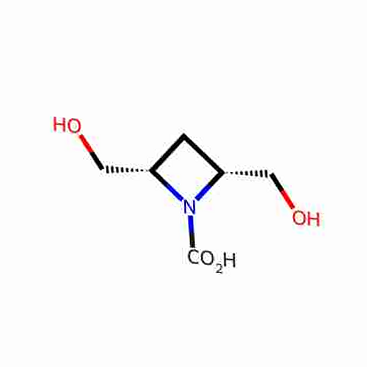 O=C(O)N1[C@H](CO)C[C@@H]1CO